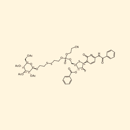 CC(=O)OC[C@H]1O[C@@H](OCCSSCCOP(=O)(OCCC#N)OC[C@H]2S[C@@H](n3ccc(NC(=O)c4ccccc4)nc3=O)[C@@H](F)[C@@H]2OC(=O)c2ccccc2)[C@H](OC(C)=O)[C@@H](OC(C)=O)[C@@H]1OC(C)=O